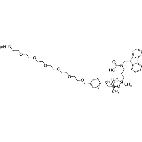 C[Si](C)(CCCN(CC1c2ccccc2-c2ccccc21)C(=O)O)O[Si](C)(C)CSc1ncc(COCCOCCOCCOCCOCCOCCN=[N+]=[N-])cn1